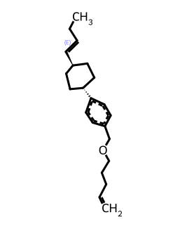 C=CCCCOCc1ccc([C@H]2CC[C@H](/C=C/CC)CC2)cc1